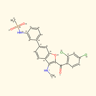 CNc1c(C(=O)c2ccc(Cl)cc2Cl)oc2cc(-c3cccc(NS(C)(=O)=O)c3)ccc12